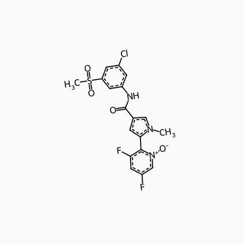 Cn1cc(C(=O)Nc2cc(Cl)cc(S(C)(=O)=O)c2)cc1-c1c(F)cc(F)c[n+]1[O-]